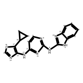 c1ccc2[nH]c(Nc3nccc(Nc4ncoc4C4CC4)n3)nc2c1